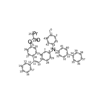 Cc1ccc(N(c2ccc(C=C(c3ccccc3)c3ccc(OC(=O)C(C)C)cc3)cc2)c2ccc(-c3ccccc3)cc2)cc1